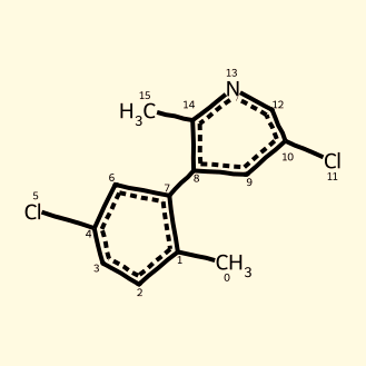 Cc1ccc(Cl)cc1-c1cc(Cl)cnc1C